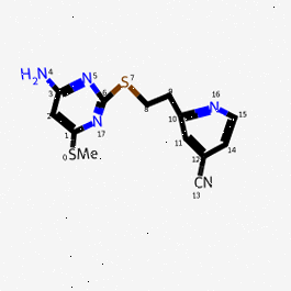 CSc1cc(N)nc(SCCc2cc(C#N)ccn2)n1